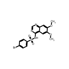 COc1cc2ncnc(NS(=O)(=O)c3ccc(Br)cc3)c2cc1OC